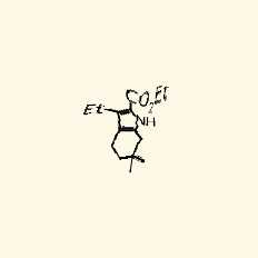 CCOC(=O)c1[nH]c2c(c1CC)CCC(C)(C)C2